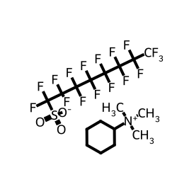 C[N+](C)(C)C1CCCCC1.O=S(=O)([O-])C(F)(F)C(F)(F)C(F)(F)C(F)(F)C(F)(F)C(F)(F)C(F)(F)C(F)(F)F